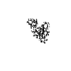 Cc1ccc(-n2c3ccccc3c3ccc4c5ccccc5n(-c5cccc(-c6cnc7ccccc7n6)c5)c4c32)cc1